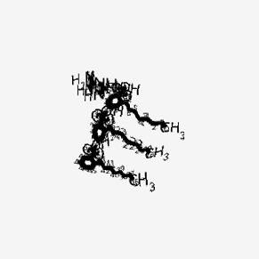 CCCCCCCCc1ccccc1S(=O)(=O)O.CCCCCCCCc1ccccc1S(=O)(=O)O.CCCCCCCCc1ccccc1S(=O)(=O)O.N=C(N)NC(=N)N